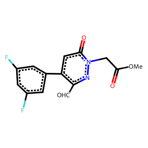 COC(=O)Cn1nc(C=O)c(-c2cc(F)cc(F)c2)cc1=O